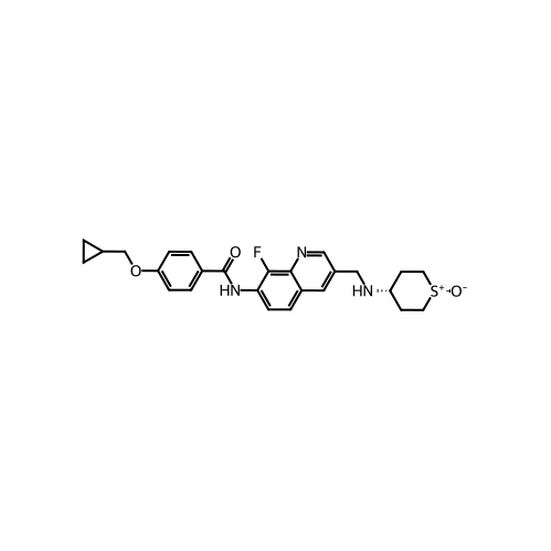 O=C(Nc1ccc2cc(CN[C@H]3CC[S@@+]([O-])CC3)cnc2c1F)c1ccc(OCC2CC2)cc1